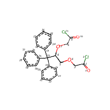 O=C(Cl)COCC(OCC(=O)Cl)C(c1ccccc1)(c1ccccc1)c1ccccc1